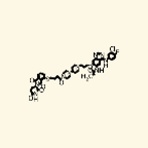 C=CC(=O)Nc1cc2c(Nc3ccc(F)c(Cl)c3)ncnc2cc1OCCCN1CCC(N2CCN(C(=O)CCCSc3cccc4c3C(=O)N(C3CCC(=O)NC3=O)C4=O)CC2)CC1